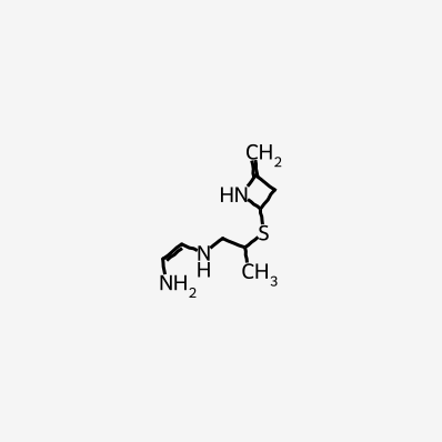 C=C1CC(SC(C)CN/C=C\N)N1